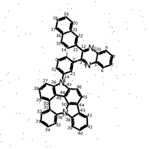 c1cc(-c2nc3ccccc3nc2-c2ccc3ccccc3c2)cc(-n2c3cccc4c5ccccc5n5c6ccccc6c6ccc2c(c43)c65)c1